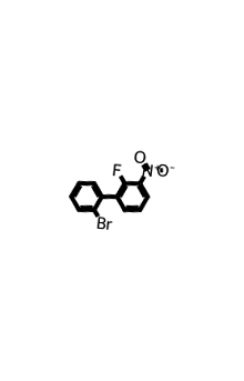 O=[N+]([O-])c1cccc(-c2ccccc2Br)c1F